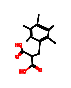 Cc1c(C)c(C)c(CC(C(=O)O)C(=O)O)c(C)c1C